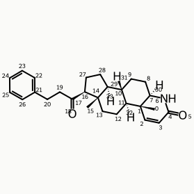 C[C@]12C=CC(=O)N[C@@H]1CC[C@@H]1[C@@H]2CC[C@]2(C)[C@@H](C(=O)CCc3ccccc3)CC[C@@H]12